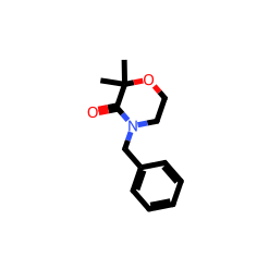 CC1(C)OCCN(Cc2ccccc2)C1=O